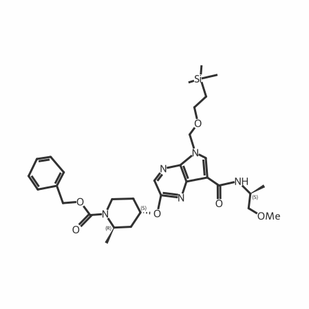 COC[C@H](C)NC(=O)c1cn(COCC[Si](C)(C)C)c2ncc(O[C@H]3CCN(C(=O)OCc4ccccc4)[C@H](C)C3)nc12